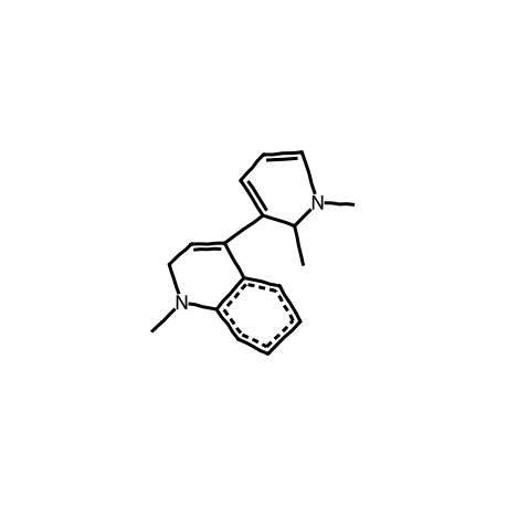 CC1C(C2=CCN(C)c3ccccc32)=CC=CN1C